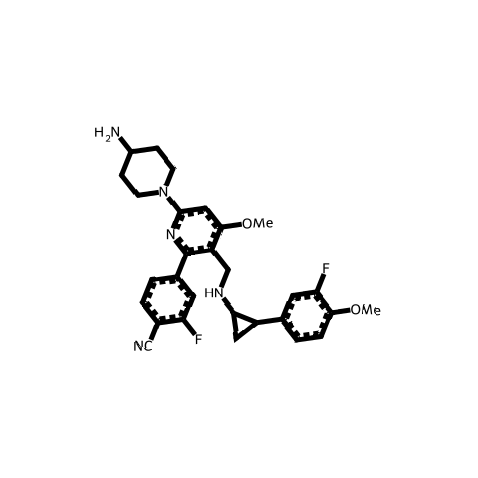 COc1ccc(C2CC2NCc2c(OC)cc(N3CCC(N)CC3)nc2-c2ccc(C#N)c(F)c2)cc1F